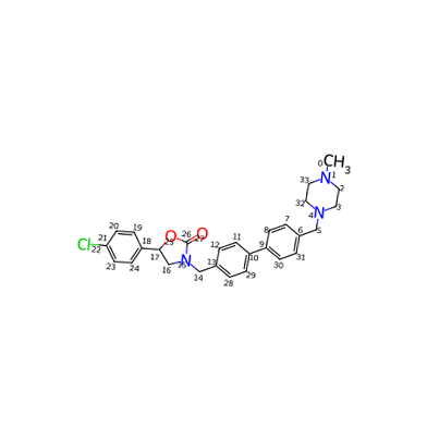 CN1CCN(Cc2ccc(-c3ccc(CN4CC(c5ccc(Cl)cc5)OC4=O)cc3)cc2)CC1